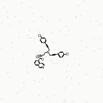 O=S(=O)(NCCN(CC#Cc1ccc(Cl)cc1)CC#Cc1ccc(Cl)cc1)c1cccc2cnccc12